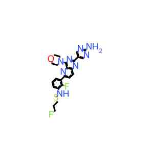 Nc1ncc(-c2nc(N3CCOCC3)c3nc(-c4cccc(NSCCCF)c4F)ccc3n2)cn1